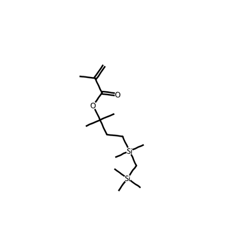 C=C(C)C(=O)OC(C)(C)CC[Si](C)(C)C[Si](C)(C)C